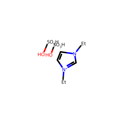 CCn1cc[n+](CC)c1.O=S(=O)(O)O.O=S(=O)(O)O